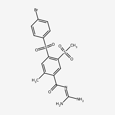 Cc1cc(S(=O)(=O)c2ccc(Br)cc2)c(S(C)(=O)=O)cc1C(=O)N=C(N)N